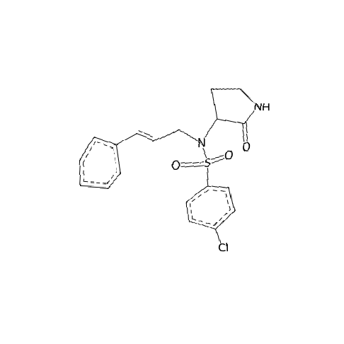 O=C1NCCC1N(CC=Cc1ccccc1)S(=O)(=O)c1ccc(Cl)cc1